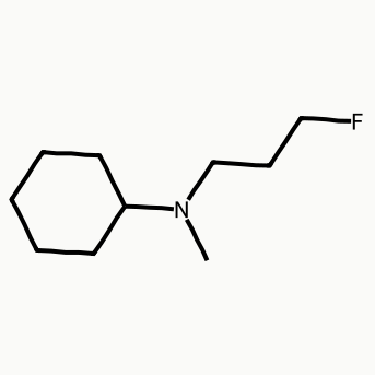 CN(CCCF)C1CCCCC1